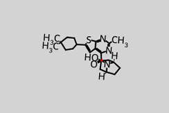 Cc1nc(C(=O)N2[C@@H]3CC[C@H]2C[C@@H](O)C3)c2cc(C3CCC(C)(C)CC3)sc2n1